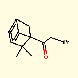 C=C1C2=C=CC(C)(C)C1(C(=O)CC(C)C)C2